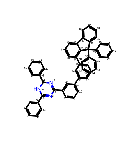 c1ccc(C2=NC(c3cccc(-c4cccc(-c5cccc6c5C(c5ccccc5)(c5ccccc5)c5ccccc5-6)c4)c3)=NC(c3ccccc3)N2)cc1